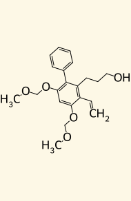 C=Cc1c(OCOC)cc(OCOC)c(-c2ccccc2)c1CCCO